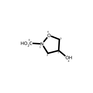 O=C(O)N1CC(O)CO1